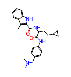 Cc1c(C(=O)NC(CCC2CC2)C(=O)Nc2ccc(CN(C)C)cc2)[nH]c2ccccc12